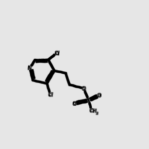 CS(=O)(=O)OCCc1c(Cl)cncc1Cl